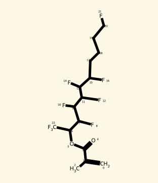 C=C(C)C(=O)OC(C(F)C(F)C(F)C(F)C(F)CCCCF)C(F)(F)F